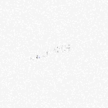 O/N=C/c1ccc(OCc2csc(-c3ccc(C(F)(F)F)cc3)n2)cc1